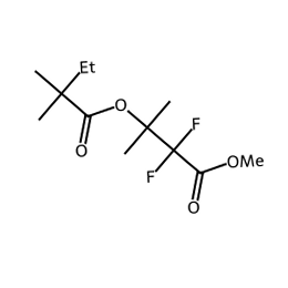 CCC(C)(C)C(=O)OC(C)(C)C(F)(F)C(=O)OC